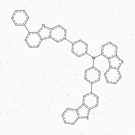 c1ccc(-c2cccc3c2oc2ccc(-c4ccc(N(c5ccc(-c6ccc7sc8ccccc8c7c6)cc5)c5cccc6sc7ccccc7c56)cc4)cc23)cc1